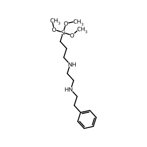 CO[Si](CCCNCCNCCc1ccccc1)(OC)OC